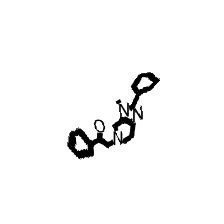 Cn1c(-c2ccccc2)nc2c1CN(CC(=O)c1ccccc1)CC2